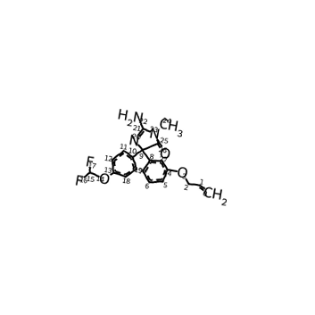 C=CCOc1cccc(C2(c3ccc(OC(F)F)cc3)N=C(N)N(C)C2=O)c1